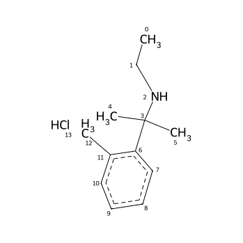 CCNC(C)(C)c1ccccc1C.Cl